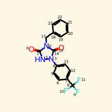 O=c1[nH]n(-c2ccc(C(F)(F)F)cc2)c(=O)n1Cc1ccccc1